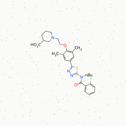 CCCCN(C(=O)c1ccccc1F)c1nnc(-c2cc(C)c(OCCN3CCCC(C(=O)O)C3)c(C)c2)s1